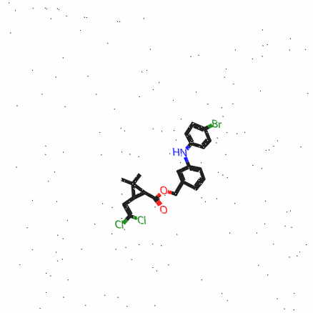 CC1(C)C(C=C(Cl)Cl)C1C(=O)OCc1cccc(Nc2ccc(Br)cc2)c1